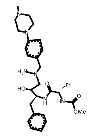 COC(=O)N[C@H](C(=O)N[C@@H](Cc1ccccc1)[C@@H](O)CN(N)Cc1ccc(N2CCN(C)CC2)cc1)C(C)C